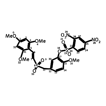 COc1cc(OC)c(/C=C/S(=O)(=O)Cc2ccc(OC)c(OS(=O)(=O)c3ccc([N+](=O)[O-])cc3[N+](=O)[O-])c2)c(OC)c1